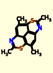 CC1=Nc2cc(C)c3c4c(cc(C)c(c24)S1)N=C(C)S3